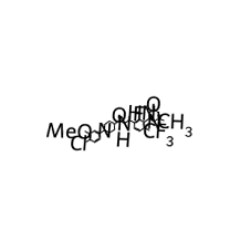 COc1cc(N2CCC(C(=O)NCc3ccc(C(F)(F)F)c(-c4nc(C)cc(=O)[nH]4)c3F)CC2)ccc1Cl